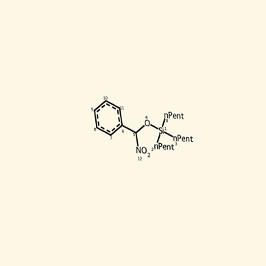 CCCCC[Si](CCCCC)(CCCCC)OC(c1ccccc1)[N+](=O)[O-]